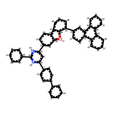 c1ccc(-c2ccc(-c3cc(-c4ccc5c(c4)oc4c(-c6ccc7c8ccccc8c8ccccc8c7c6)cccc45)nc(-c4ccccc4)n3)cc2)cc1